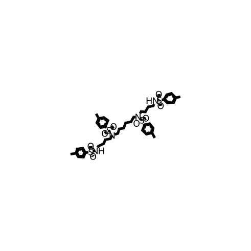 Cc1ccc(S(=O)(=O)NCCCCN(CCCCCCN(CCCCNS(=O)(=O)c2ccc(C)cc2)S(=O)(=O)c2ccc(C)cc2)S(=O)(=O)c2ccc(C)cc2)cc1